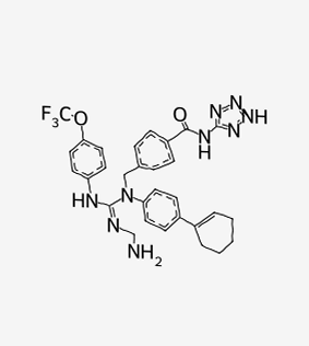 NC/N=C(/Nc1ccc(OC(F)(F)F)cc1)N(Cc1ccc(C(=O)Nc2nn[nH]n2)cc1)c1ccc(C2=CCCCC2)cc1